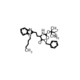 CCCCCn1c(CCC(NC(=O)OC(C)(C)C)C(=O)OCc2ccccc2)nc2ccccc21